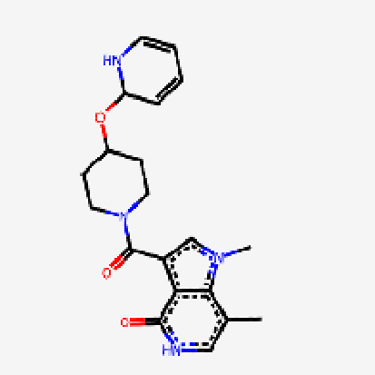 Cc1c[nH]c(=O)c2c(C(=O)N3CCC(OC4C=CC=CN4)CC3)cn(C)c12